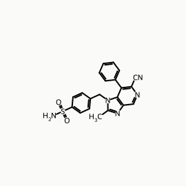 Cc1nc2cnc(C#N)c(-c3ccccc3)c2n1Cc1ccc(S(N)(=O)=O)cc1